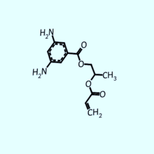 C=CC(=O)OC(C)COC(=O)c1cc(N)cc(N)c1